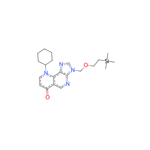 C[Si](C)(C)CCOCn1cnc2c1ncc1c(=O)ccn(C3CCCCC3)c12